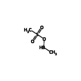 CBOS(C)(=O)=O